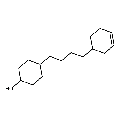 OC1CCC(CCCCC2CC=CCC2)CC1